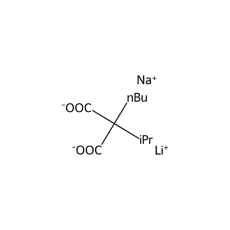 CCCCC(C(=O)[O-])(C(=O)[O-])C(C)C.[Li+].[Na+]